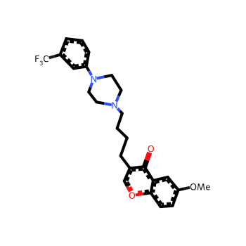 COc1ccc2occ(CCCCN3CCN(c4cccc(C(F)(F)F)c4)CC3)c(=O)c2c1